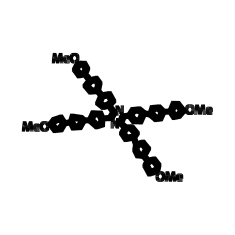 COc1ccc(-c2ccc(-c3ccc(-c4nc(-c5ccc(-c6ccc(-c7ccc(OC)cc7)cc6)cc5)c(-c5ccc(-c6ccc(-c7ccc(OC)cc7)cc6)cc5)nc4-c4ccc(-c5ccc(-c6ccc(OC)cc6)cc5)cc4)cc3)cc2)cc1